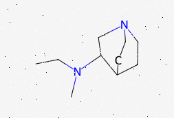 CCN(C)C1CN2CCC1CC2